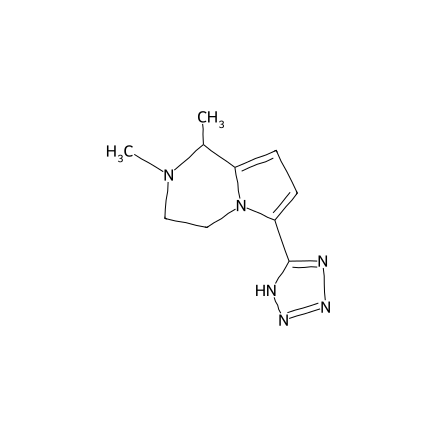 CC1c2ccc(-c3nnn[nH]3)n2CCN1C